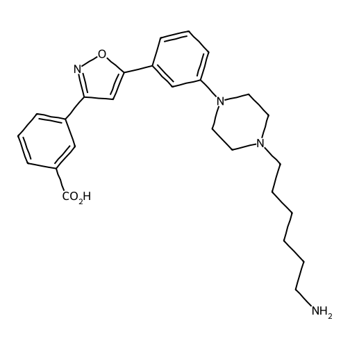 NCCCCCCN1CCN(c2cccc(-c3cc(-c4cccc(C(=O)O)c4)no3)c2)CC1